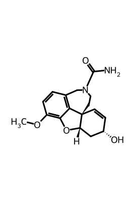 COc1ccc2c3c1O[C@H]1C[C@@H](O)C=C[C@@]31CCN(C(N)=O)C2